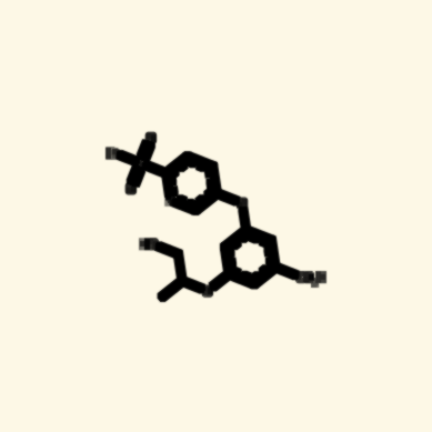 CCS(=O)(=O)c1ccc(Oc2cc(OC(C)CO)cc(C(=O)O)c2)cn1